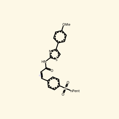 CCCCCS(=O)(=O)c1ccc(/C=C\C(=O)Nc2nc(-c3ccc(OC)cc3)cs2)cc1